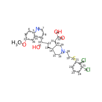 COc1ccc2nccc([C@@H](O)CC[C@@H]3CCN(CCSc4cccc(Cl)c4Cl)C[C@@H]3CC(=O)O)c2c1